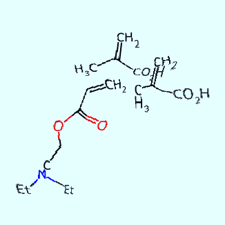 C=C(C)C(=O)O.C=C(C)C(=O)O.C=CC(=O)OCCN(CC)CC